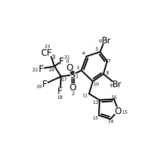 O=S(=O)(c1cc(Br)[c]c(Br)c1Cc1ccoc1)C(F)(F)C(F)(F)C(F)(F)F